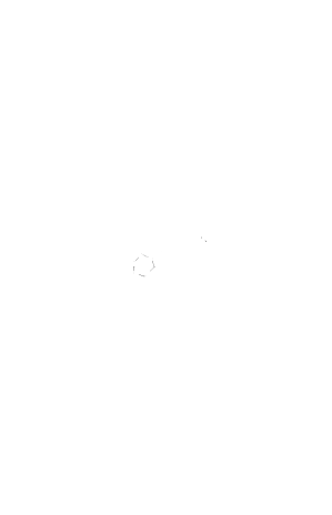 CN(C)CCCOc1ccc(O)c(Cl)c1